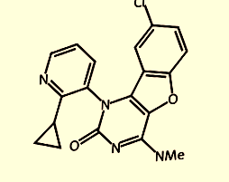 CNc1nc(=O)n(-c2cccnc2C2CC2)c2c1oc1ccc(Cl)cc12